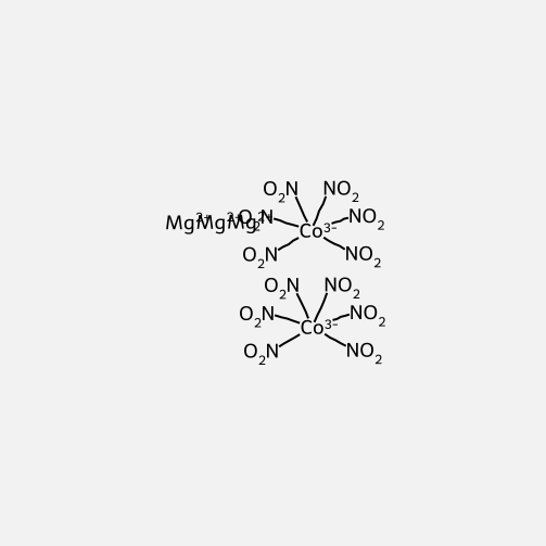 O=[N+]([O-])[Co-3]([N+](=O)[O-])([N+](=O)[O-])([N+](=O)[O-])([N+](=O)[O-])[N+](=O)[O-].O=[N+]([O-])[Co-3]([N+](=O)[O-])([N+](=O)[O-])([N+](=O)[O-])([N+](=O)[O-])[N+](=O)[O-].[Mg+2].[Mg+2].[Mg+2]